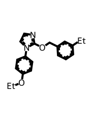 CCOc1ccc(-n2ccnc2OCc2cccc(CC)c2)cc1